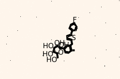 Cc1ccc(C2(O)OC(CO)[C@@H](O)C(O)[C@H]2O)cc1Cc1ccc(-c2ccc(F)cc2)s1